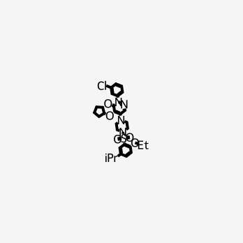 CCOc1ccc(C(C)C)cc1S(=O)(=O)N1CCN(c2cnn(-c3cccc(Cl)c3)c(=O)c2OC2CCCC2)CC1